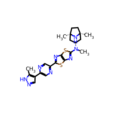 Cc1[nH]ncc1-c1cnc(-c2nc3sc(N(C)[C@H]4C[C@]5(C)CC[C@](C)(C4)N5)nc3s2)cn1